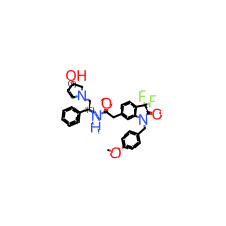 COc1ccc(CN2C(=O)C(F)(F)c3ccc(CC(=O)N[C@H](CN4CC[C@H](O)C4)c4ccccc4)cc32)cc1